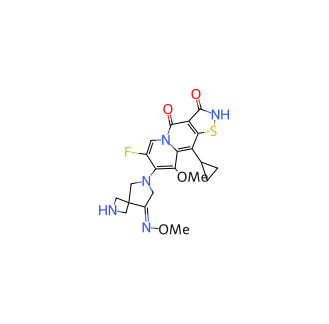 CON=C1CN(c2c(F)cn3c(=O)c4c(=O)[nH]sc4c(C4CC4)c3c2OC)CC12CNC2